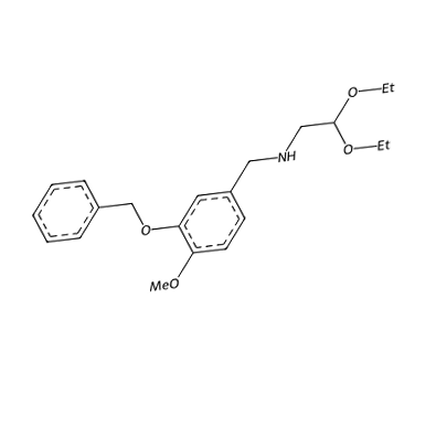 CCOC(CNCc1ccc(OC)c(OCc2ccccc2)c1)OCC